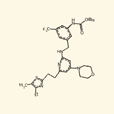 CCc1nc(CCc2cc(N3CCOCC3)cc(NCc3cc(NC(=O)OCC(C)C)cc(C(F)(F)F)c3)n2)sc1C